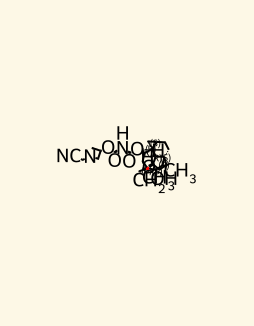 C=C[C@]1(C)C[C@@H](OC(=O)NC(=O)OC2CN(CC#N)C2)[C@]23C[C@@H]2CC[C@]2(CCC(=O)[C@H]23)[C@@H](C)[C@@H]1O